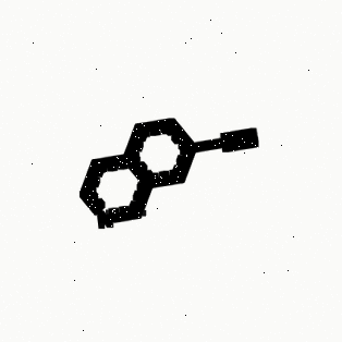 C#Cc1ccc2ccn[c]c2c1